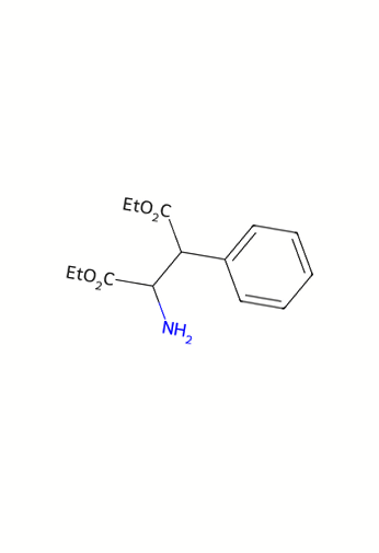 CCOC(=O)C(N)C(C(=O)OCC)c1ccccc1